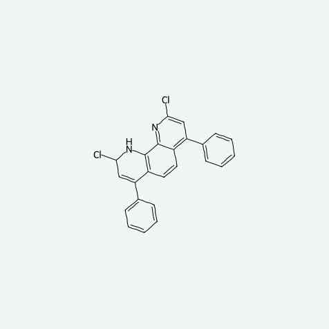 Clc1cc(-c2ccccc2)c2ccc3c(c2n1)NC(Cl)C=C3c1ccccc1